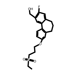 CCS(=O)(=O)CCCOc1ccc2c(c1)CCCc1cc(F)c(CO)cc1-2